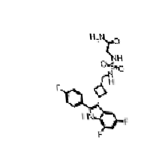 NC(=O)CNS(=O)(=O)NC[C@H]1C[C@H](c2c(-c3ccc(F)cc3)[nH]c3c(F)cc(F)cc32)C1